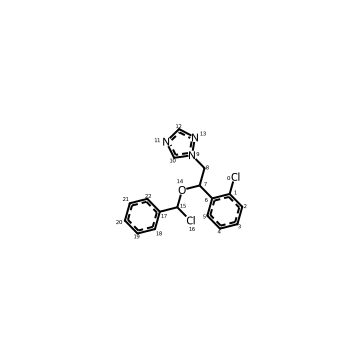 Clc1ccccc1C(Cn1cncn1)OC(Cl)c1ccccc1